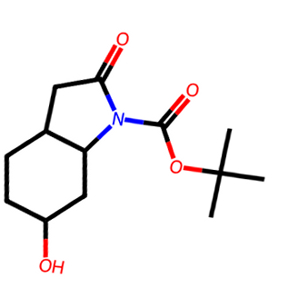 CC(C)(C)OC(=O)N1C(=O)CC2CCC(O)CC21